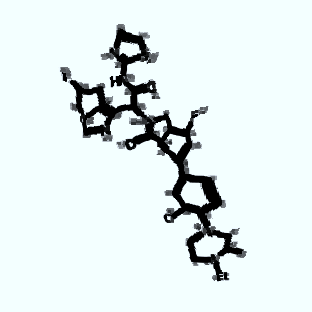 CCN1CCN(c2ccc(-c3cc(F)c4c(c3)C(=O)N(C(C(=O)Nc3nccs3)c3ncn5c3CC(F)C5)C4)cc2Cl)CC1C